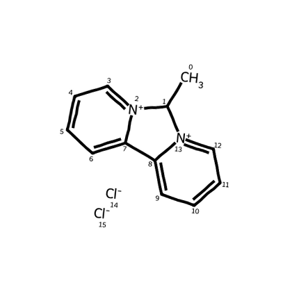 CC1[n+]2ccccc2-c2cccc[n+]21.[Cl-].[Cl-]